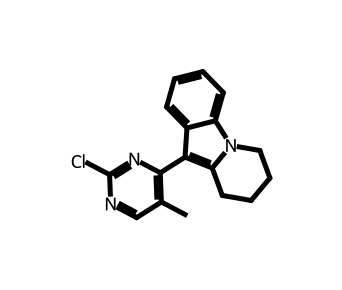 Cc1cnc(Cl)nc1-c1c2n(c3ccccc13)CCCC2